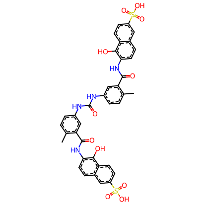 Cc1ccc(NC(=O)Nc2ccc(C)c(C(=O)Nc3ccc4cc(S(=O)(=O)O)ccc4c3O)c2)cc1C(=O)Nc1ccc2cc(S(=O)(=O)O)ccc2c1O